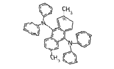 Cc1ccc2c(N(c3ccccc3)c3ccccc3)c3c(c(N(c4ccccc4)c4ccccc4)c2c1)=CC[C@@H](C)C=3